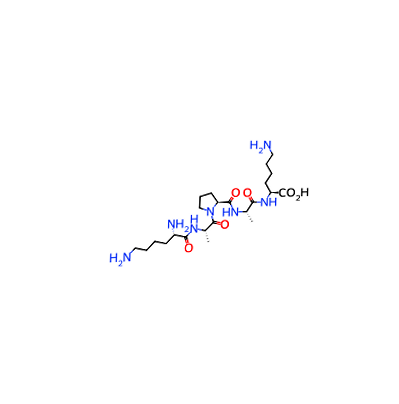 C[C@H](NC(=O)[C@@H]1CCCN1C(=O)[C@H](C)NC(=O)[C@@H](N)CCCCN)C(=O)N[C@@H](CCCCN)C(=O)O